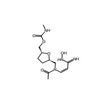 CNC(=O)OC[C@@H]1CC[C@H](CN(/C=C\C(=N)NO)C(C)=O)O1